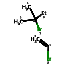 C=CBr.CCC(C)(C)Br